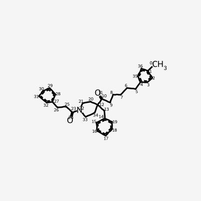 Cc1ccc(CCCCCC(=O)C2(Cc3ccccc3)CCN(C(=O)CCc3ccccc3)CC2)cc1